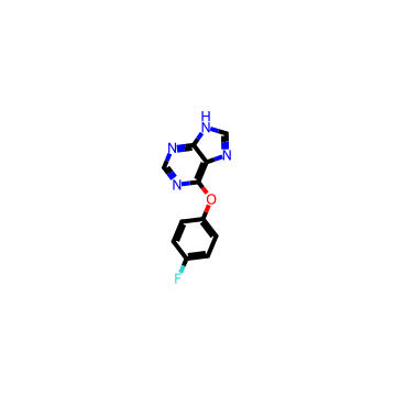 Fc1ccc(Oc2ncnc3[nH]cnc23)cc1